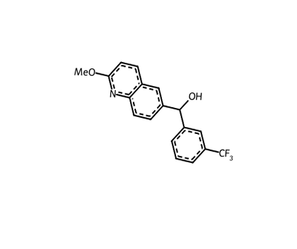 COc1ccc2cc(C(O)c3cccc(C(F)(F)F)c3)ccc2n1